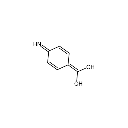 N=C1C=CC(=C(O)O)C=C1